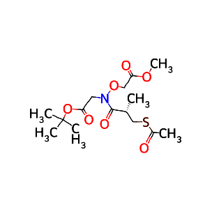 COC(=O)CON(CC(=O)OC(C)(C)C)C(=O)[C@H](C)CSC(C)=O